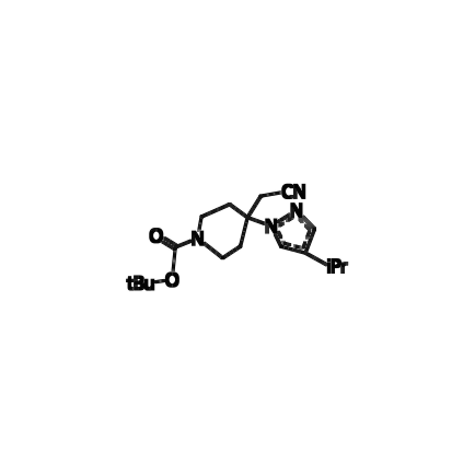 CC(C)c1cnn(C2(CC#N)CCN(C(=O)OC(C)(C)C)CC2)c1